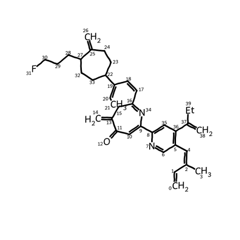 C=C/C(C)=C\c1cnc(C2=CC(=O)C(=C)CC(/C=C\C(=C/C)C3CCC(=C)C(CCCF)CC3)=N2)cc1C(=C)CC